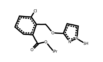 CC(C)OC(=O)c1cccc(Cl)c1COc1ccn(S)n1